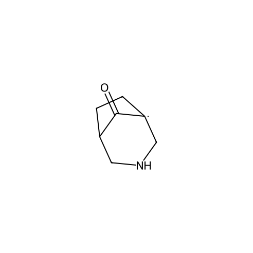 O=C1[C]2CCC1CNC2